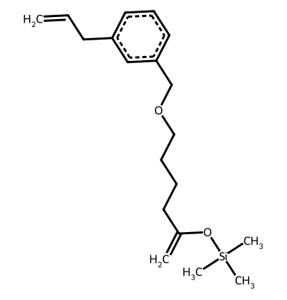 C=CCc1cccc(COCCCCC(=C)O[Si](C)(C)C)c1